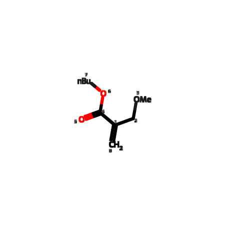 C=C(COC)C(=O)OCCCC